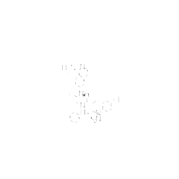 Nc1nccc2cc(NC(=O)[C@H](Cc3ccccc3)NC(=O)C=Cc3cc(Cl)ccc3-n3cnnn3)ccc12